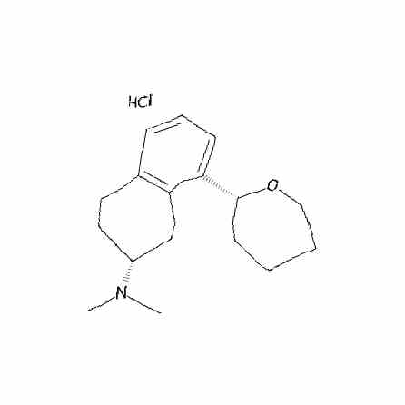 CN(C)[C@@H]1CCc2cccc([C@H]3CCCCO3)c2C1.Cl